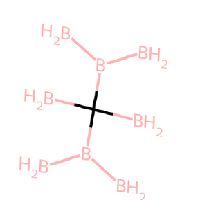 BB(B)C(B)(B)B(B)B